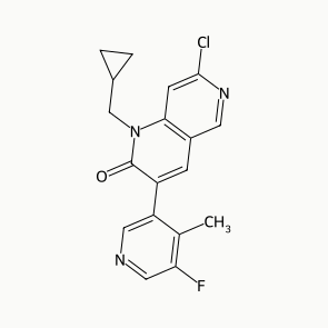 Cc1c(F)cncc1-c1cc2cnc(Cl)cc2n(CC2CC2)c1=O